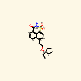 CC[Si](CC)(CC)OCCc1ccc2c3c(cccc13)C(=O)NS2(=O)=O